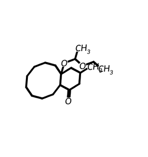 CCOC(C)OC12CCCCCCCCC1C(=O)CC(C)C2